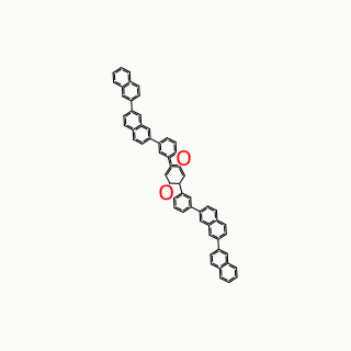 C1=c2oc3ccc(-c4ccc5ccc(-c6ccc7ccccc7c6)cc5c4)cc3c2=CC2Oc3ccc(-c4ccc5ccc(-c6ccc7ccccc7c6)cc5c4)cc3C12